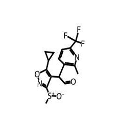 Cc1nc(C(F)(F)F)ccc1C(C=O)c1c([S+](C)[O-])noc1C1CC1